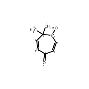 CC1(C)C=NC(=O)C=C[S+]1[O-]